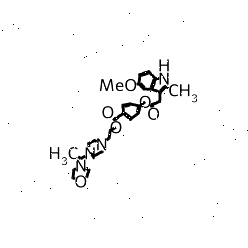 COc1ccc2[nH]c(C)c(CC(=O)Oc3ccc(C(=O)OCCN4CCN(C(C)N5CCOCC5)CC4)cc3)c2c1